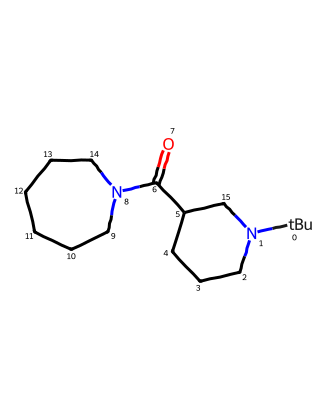 CC(C)(C)N1CCCC(C(=O)N2CCCCCC2)C1